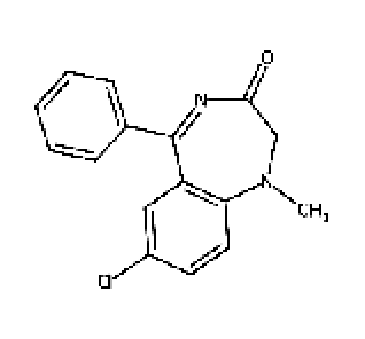 CN1CC(=O)N=C(c2ccccc2)c2cc(Cl)ccc21